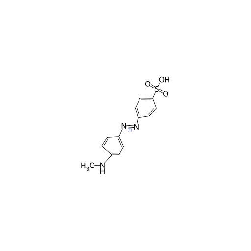 CNc1ccc(/N=N/c2ccc(S(=O)(=O)O)cc2)cc1